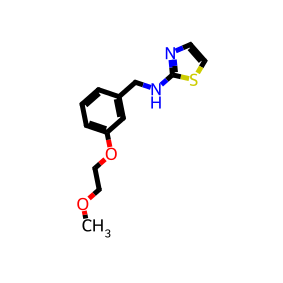 COCCOc1cccc(CNc2nccs2)c1